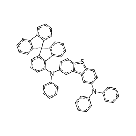 c1ccc(N(c2ccccc2)c2ccc3sc4ccc(N(c5ccccc5)c5cccc6c5-c5ccccc5C65c6ccccc6-c6ccccc65)cc4c3c2)cc1